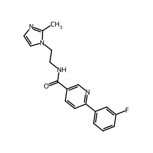 Cc1nccn1CCNC(=O)c1ccc(-c2cccc(F)c2)nc1